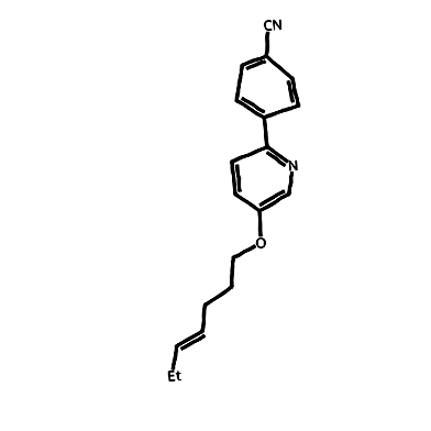 CC/C=C/CCCOc1ccc(-c2ccc(C#N)cc2)nc1